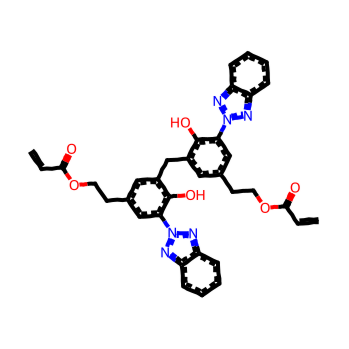 C=CC(=O)OCCc1cc(Cc2cc(CCOC(=O)C=C)cc(-n3nc4ccccc4n3)c2O)c(O)c(-n2nc3ccccc3n2)c1